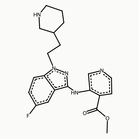 COC(=O)c1ccncc1Nc1nn(CCC2CCCNC2)c2ccc(F)cc12